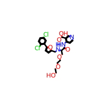 O=C(O)c1cnccc1NC(=O)C(COCCOCCO)NCc1ccc(-c2cc(Cl)ccc2Cl)o1